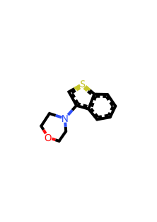 c1ccc2c(N3CCOCC3)csc2c1